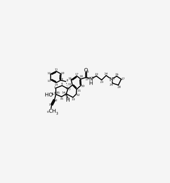 CC#C[C@@]1(O)CC[C@@]2(Cc3ccccc3)c3ccc(C(=O)NCCCN4CCCC4)cc3CC[C@@H]2C1